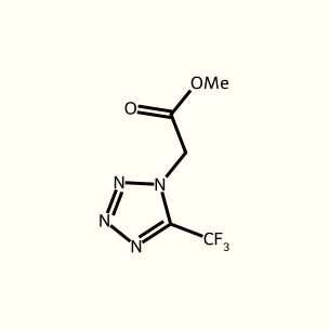 COC(=O)Cn1nnnc1C(F)(F)F